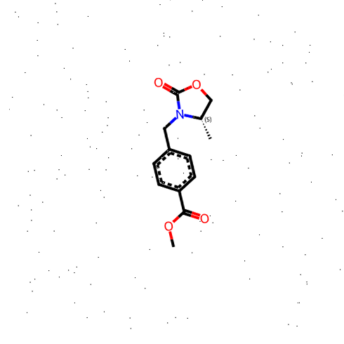 COC(=O)c1ccc(CN2C(=O)OC[C@@H]2C)cc1